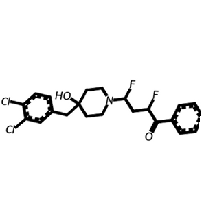 O=C(c1ccccc1)C(F)CC(F)N1CCC(O)(Cc2ccc(Cl)c(Cl)c2)CC1